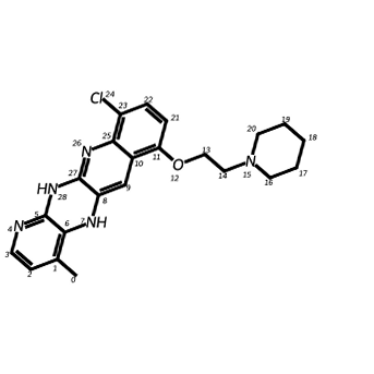 Cc1ccnc2c1Nc1cc3c(OCCN4CCCCC4)ccc(Cl)c3nc1N2